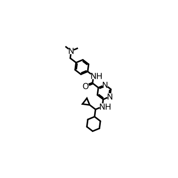 CN(C)Cc1ccc(NC(=O)c2cc(NC(C3CCCCC3)C3CC3)ncn2)cc1